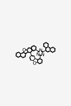 C1=CC2Oc3cccc(-c4nc(-c5ccccc5)nc(-c5cc6ccccc6c6ccccc56)n4)c3C2C=C1c1cccc2oc3c4ccccc4ccc3c12